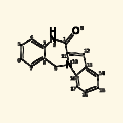 O=C1Nc2ccccc2Cn2c1cc1ccccc12